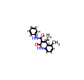 Cc1cccc2[nH]c(=O)c(C(=O)Nc3ccccc3)c(C)c12